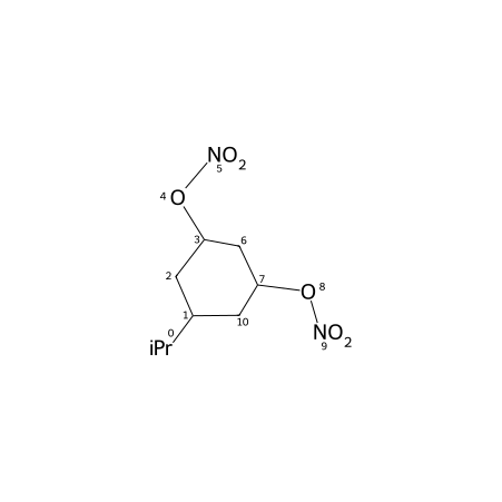 CC(C)C1CC(O[N+](=O)[O-])CC(O[N+](=O)[O-])C1